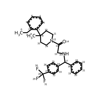 CCc1ccccc1C1(C)CCN(C(=O)CNC(c2ccccc2)c2ccc(C(F)(F)F)cc2)CC1